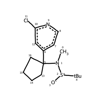 CN([S+]([O-])C(C)(C)C)C1(c2ccnc(Cl)c2)CCCC1